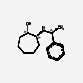 C[C@H](N[C@H]1CCCCC[C@@H]1O)c1ccccc1